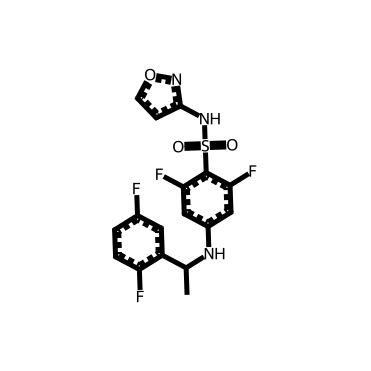 CC(Nc1cc(F)c(S(=O)(=O)Nc2ccon2)c(F)c1)c1cc(F)ccc1F